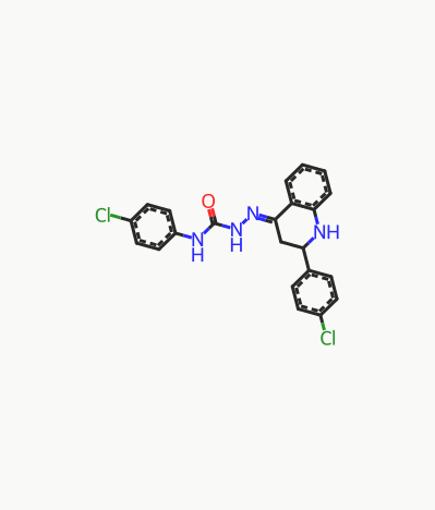 O=C(NN=C1CC(c2ccc(Cl)cc2)Nc2ccccc21)Nc1ccc(Cl)cc1